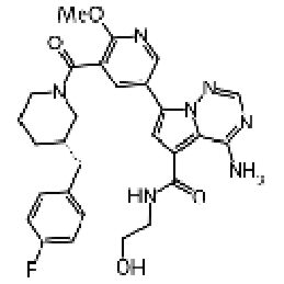 COc1ncc(-c2cc(C(=O)NCCO)c3c(N)ncnn23)cc1C(=O)N1CCC[C@@H](Cc2ccc(F)cc2)C1